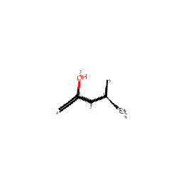 C=C(O)C[C@@H](C)CC